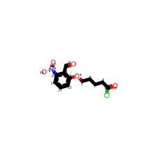 O=Cc1c(OCCCCC(=O)Cl)cccc1[N+](=O)[O-]